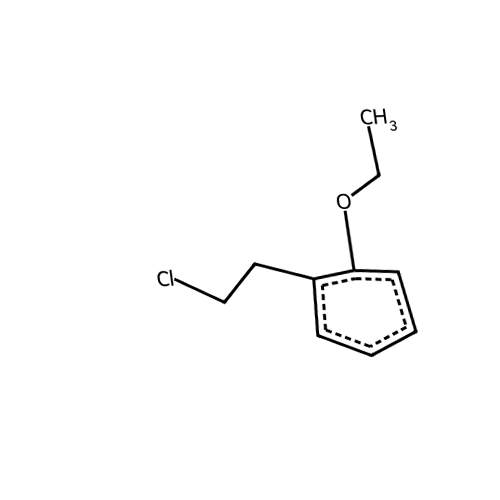 CCOc1ccccc1CCCl